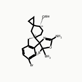 BC1(B)OC(N)=NC12c1cc(Br)ccc1C[C@]21CC[C@@H](OC)C2(CC2)C1